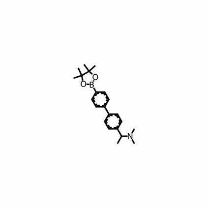 CC(c1ccc(-c2ccc(B3OC(C)(C)C(C)(C)O3)cc2)cc1)N(C)C